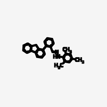 Cc1cc(C)c(NN=Cc2ccccc2-c2cccc3c2Cc2ccccc2-3)c(C)c1